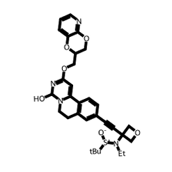 CCN([S+]([O-])C(C)(C)C)C1(C#Cc2ccc3c(c2)CCN2C3=CC(OCC3COc4ncccc4O3)=NC2O)COC1